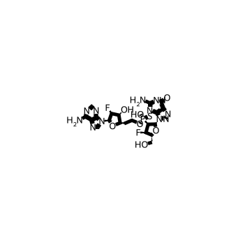 Nc1nc2c(nnn2[C@@H]2O[C@H](CO)[C@@H](F)[C@H]2P(O)(=S)OCC[C@H]2O[C@@H](n3cnc4c(N)ncnc43)[C@@H](F)[C@@H]2O)c(=O)[nH]1